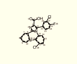 O=C(O)c1nc(-c2ccccc2)n(-c2cccc(Cl)c2F)c1-c1ccc(F)c(Cl)c1